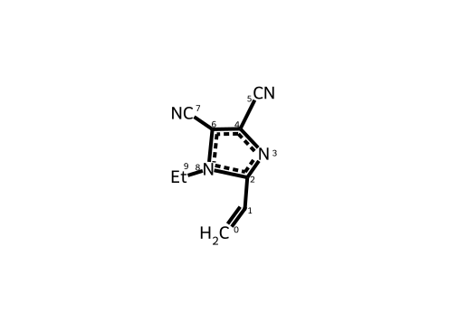 C=Cc1nc(C#N)c(C#N)n1CC